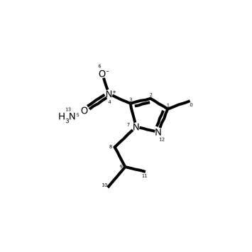 Cc1cc([N+](=O)[O-])n(CC(C)C)n1.N